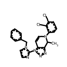 CC1c2nnn(-c3nccn3Cc3ccccc3)c2C=CN1c1cc[c]c(Cl)c1Cl